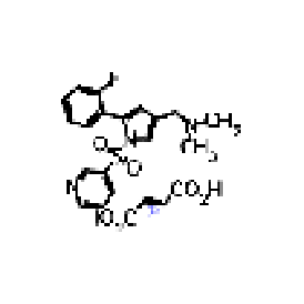 CN(C)Cc1cc(-c2ccccc2F)n(S(=O)(=O)c2cccnc2)c1.O=C(O)/C=C/C(=O)O